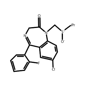 CC(C)[S+]([O-])CN1C(=O)CN=C(c2ccccc2F)c2cc(Cl)ccc21